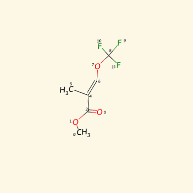 COC(=O)/C(C)=C/OC(F)(F)F